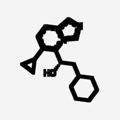 O[C@@H](CC1CCCCC1)c1c(C2CC2)ccc2cncn12